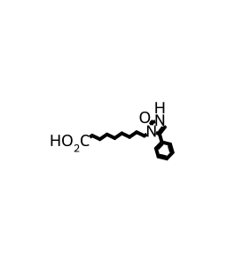 O=C(O)CCCCCCCCn1c(-c2ccccc2)c[nH]c1=O